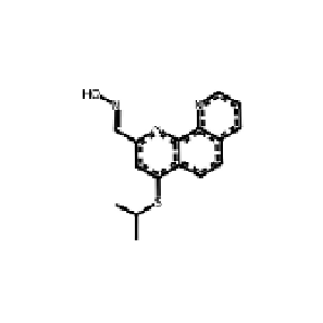 CC(C)Sc1cc(C=NO)nc2c1ccc1cccnc12